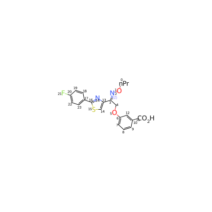 CCCO/N=C(\COc1cccc(C(=O)O)c1)c1csc(-c2ccc(F)cc2)n1